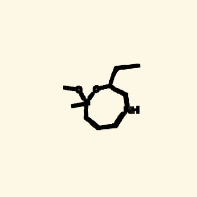 CCC1CNCCC[Si](C)(OC)O1